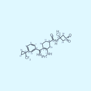 CC(C)NC1=C(C(=N)c2cccc(C3(C(F)(F)F)CC3)c2)CCC(C(=O)NC2(C)CS(=O)(=O)C2)C1